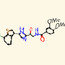 COc1ccc(C(=O)NCC(=O)c2ncc(-c3csc4c(F)cccc34)[nH]2)cc1OC